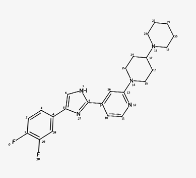 Fc1ccc(-c2c[nH]c(-c3ccnc(N4CCC(N5CCCCC5)CC4)c3)n2)cc1F